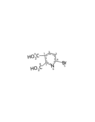 O=C(O)c1ccc(Br)nc1C(=O)O